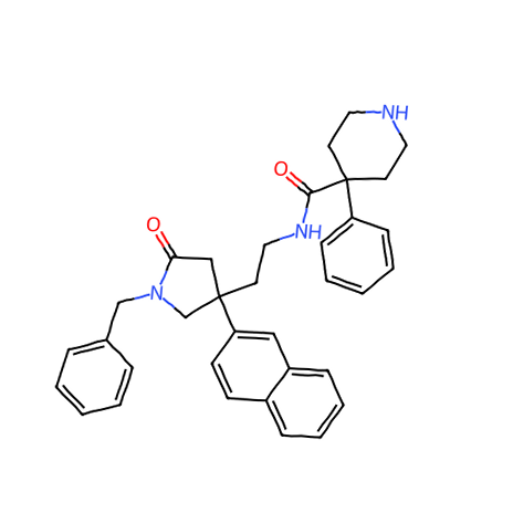 O=C1CC(CCNC(=O)C2(c3ccccc3)CCNCC2)(c2ccc3ccccc3c2)CN1Cc1ccccc1